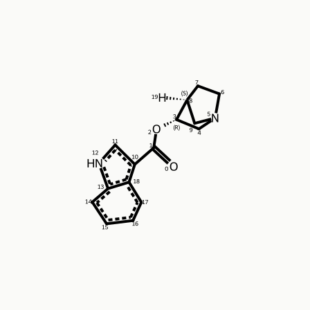 O=C(O[C@H]1CN2CC[C@H]1C2)c1c[nH]c2ccccc12